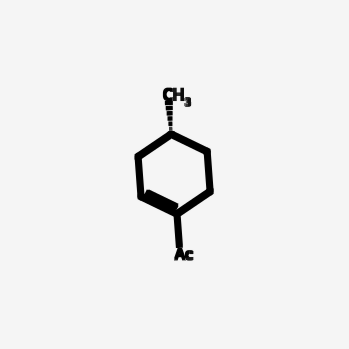 CC(=O)C1=CC[C@H](C)CC1